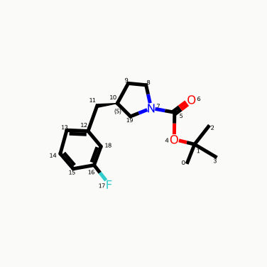 CC(C)(C)OC(=O)N1CC[C@H](Cc2cccc(F)c2)C1